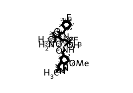 COc1cc(C(=O)NCC(O)(c2cc3c(c(-c4ccc(F)cc4)n2)OC[C@]3(C)C(N)=O)C(F)(F)F)cc2cc(C)nnc12